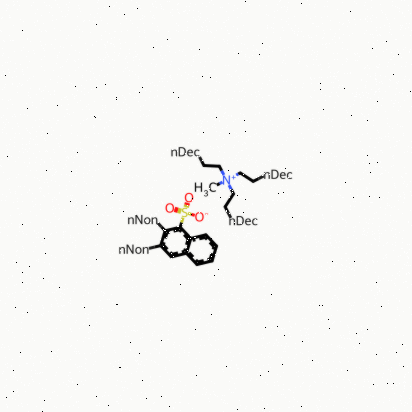 CCCCCCCCCCCC[N+](C)(CCCCCCCCCCCC)CCCCCCCCCCCC.CCCCCCCCCc1cc2ccccc2c(S(=O)(=O)[O-])c1CCCCCCCCC